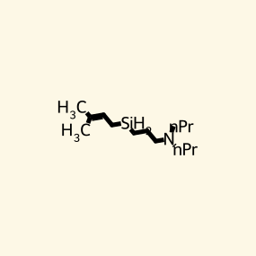 CCCN(CCC)CCC[SiH2]CC=C(C)C